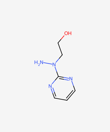 NN(CCO)c1ncccn1